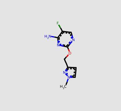 Cn1ccc(COc2ncc(F)c(N)n2)n1